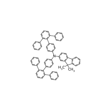 CC1(C)c2ccccc2-c2ccc(N(c3ccc(-c4c(-c5ccccc5)cccc4-c4ccccc4)cc3)c3ccc(-c4c(-c5ccccc5)cccc4-c4ccccc4)cc3)cc21